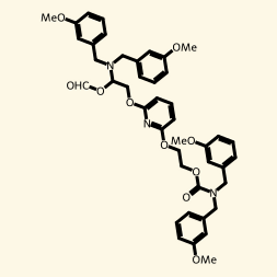 COc1cccc(CN(Cc2cccc(OC)c2)C(=O)OCCOc2cccc(OCC(OC=O)N(Cc3cccc(OC)c3)Cc3cccc(OC)c3)n2)c1